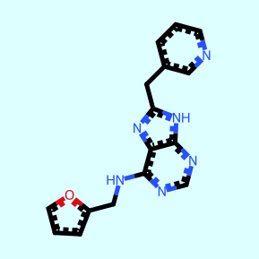 c1cncc(Cc2nc3c(NCc4ccco4)ncnc3[nH]2)c1